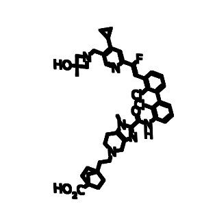 Cn1c(C(=O)Nc2cccc(-c3cccc(/C=C(\F)c4cc(C5CC5)c(CN5CC(C)(O)C5)cn4)c3Cl)c2Cl)nc2c1CCN(CCC13CCC(C(=O)O)(CC1)C3)C2